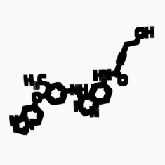 Cc1cc(Nc2ncnc3ccc(NC(=O)C#CCCO)cc23)ccc1Oc1ccn2ccnc2c1